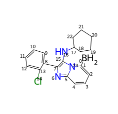 Bc1cccc2nc(-c3ccccc3Cl)c(NC3CCCCC3)n12